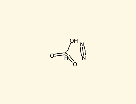 N#N.O=[SH](=O)O